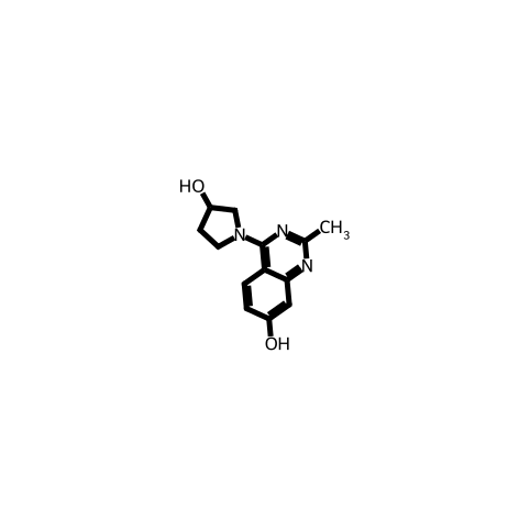 Cc1nc(N2CCC(O)C2)c2ccc(O)cc2n1